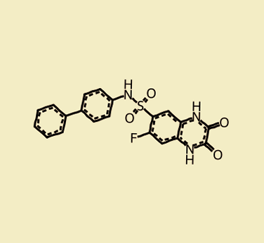 O=c1[nH]c2cc(F)c(S(=O)(=O)Nc3ccc(-c4ccccc4)cc3)cc2[nH]c1=O